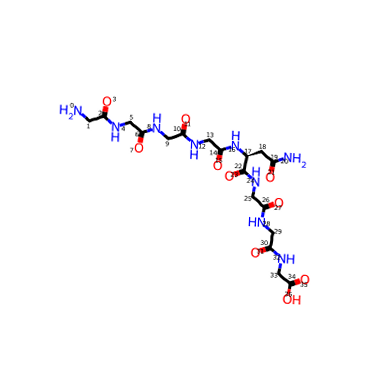 NCC(=O)NCC(=O)NCC(=O)NCC(=O)N[C@@H](CC(N)=O)C(=O)NCC(=O)NCC(=O)NCC(=O)O